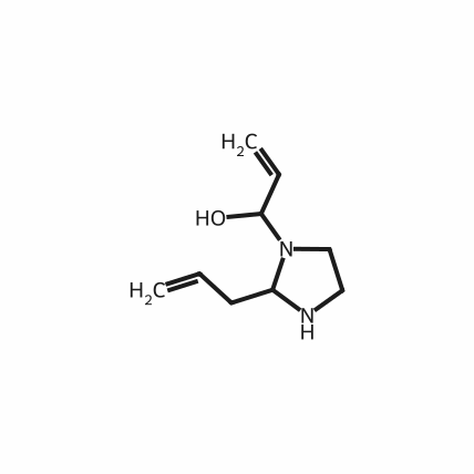 C=CCC1NCCN1C(O)C=C